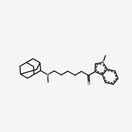 CN(CCCCCC(=O)c1cn(C)c2ccccc12)C1C2CC3CC(C2)CC1C3